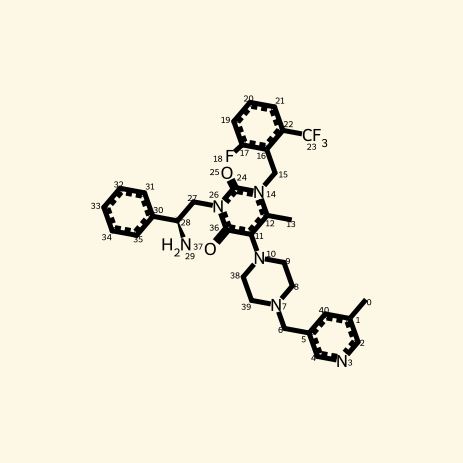 Cc1cncc(CN2CCN(c3c(C)n(Cc4c(F)cccc4C(F)(F)F)c(=O)n(C[C@@H](N)c4ccccc4)c3=O)CC2)c1